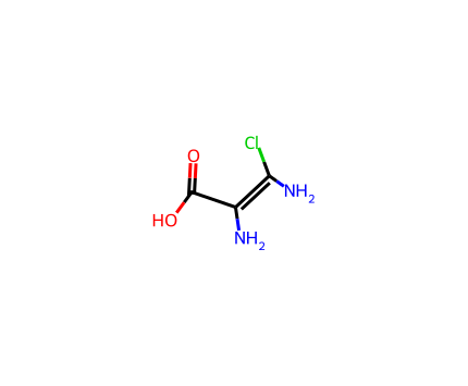 N/C(Cl)=C(\N)C(=O)O